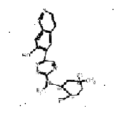 CC[C@@]1(C)CC[C@@H](F)[C@@H](N(C)c2ncc(-c3cc4ccncc4cc3O)nn2)C1